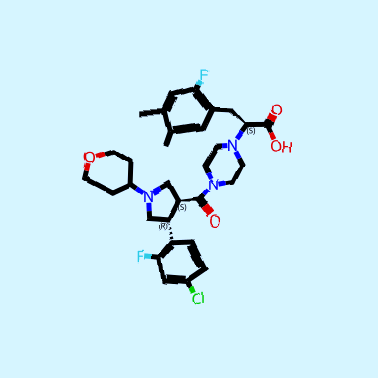 Cc1cc(F)c(C[C@@H](C(=O)O)N2CCN(C(=O)[C@@H]3CN(C4CCOCC4)C[C@H]3c3ccc(Cl)cc3F)CC2)cc1C